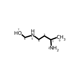 CC(N)CCNCO